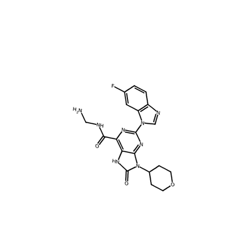 NCNC(=O)c1nc(-n2cnc3ccc(F)cc32)nc2c1[nH]c(=O)n2C1CCOCC1